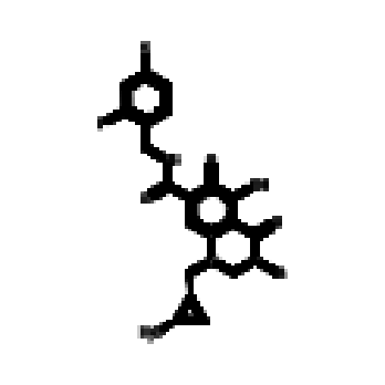 CCN1CN(C[C@H]2C[C@H]2C)n2cc(C(=O)NCc3ccc(F)cc3F)c(=O)c(O)c2C1=O